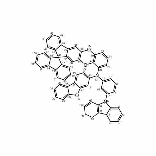 C1=CCC2C(=C1)N(c1cccc(N(c3ccc4c(c3)oc3ccccc34)c3cccc4c3Oc3cc5c(cc3O4)-c3ccccc3C53c4ccccc4-c4ccccc43)c1)C1=C2CCC=C1